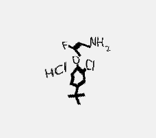 CC(C)(C)c1ccc(OC/C(F)=C\CN)c(Cl)c1.Cl